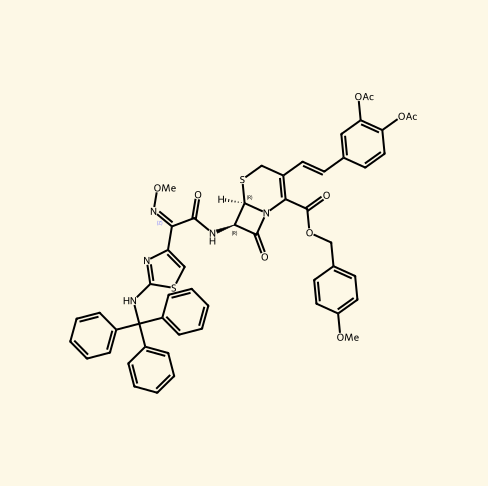 CO/N=C(\C(=O)N[C@@H]1C(=O)N2C(C(=O)OCc3ccc(OC)cc3)=C(C=Cc3ccc(OC(C)=O)c(OC(C)=O)c3)CS[C@H]12)c1csc(NC(c2ccccc2)(c2ccccc2)c2ccccc2)n1